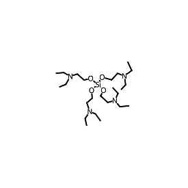 CCN(CC)CCO[Si](OCCN(CC)CC)(OCCN(CC)CC)OCCN(CC)CC